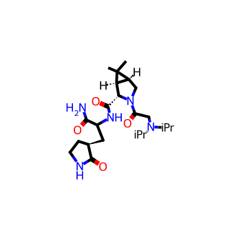 CC(C)N(CC(=O)N1C[C@H]2[C@@H]([C@H]1C(=O)NC(C[C@@H]1CCNC1=O)C(N)=O)C2(C)C)C(C)C